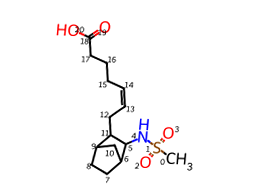 CS(=O)(=O)NC1C2CCC(C2)C1C/C=C\CCCC(=O)O